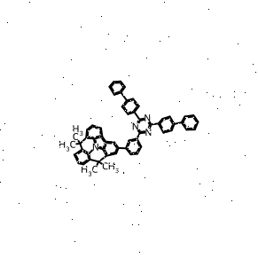 CC1(C)c2cccc3c2-n2c4c1cccc4c1cc(-c4cccc(-c5nc(-c6ccc(-c7ccccc7)cc6)nc(-c6ccc(-c7ccccc7)cc6)n5)c4)cc(c12)C3(C)C